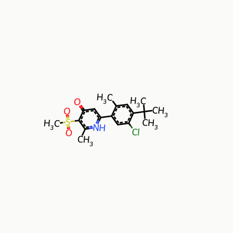 Cc1cc(C(C)(C)C)c(Cl)cc1-c1cc(=O)c(S(C)(=O)=O)c(C)[nH]1